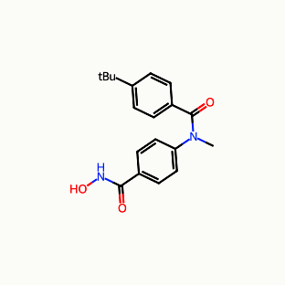 CN(C(=O)c1ccc(C(C)(C)C)cc1)c1ccc(C(=O)NO)cc1